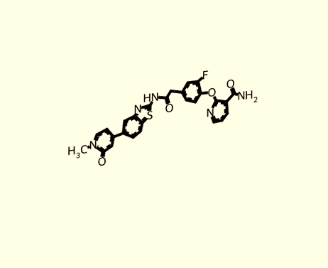 Cn1ccc(-c2ccc3sc(NC(=O)Cc4ccc(Oc5ncccc5C(N)=O)c(F)c4)nc3c2)cc1=O